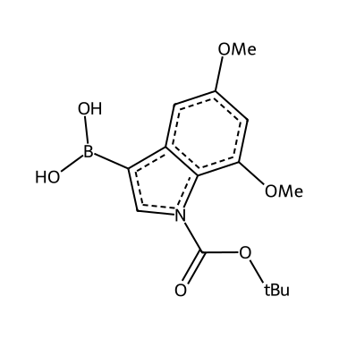 COc1cc(OC)c2c(c1)c(B(O)O)cn2C(=O)OC(C)(C)C